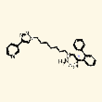 N/C(=C\N(N)CCCCCCCn1cc(-c2cccnc2)nn1)c1ccccc1-c1ccccc1